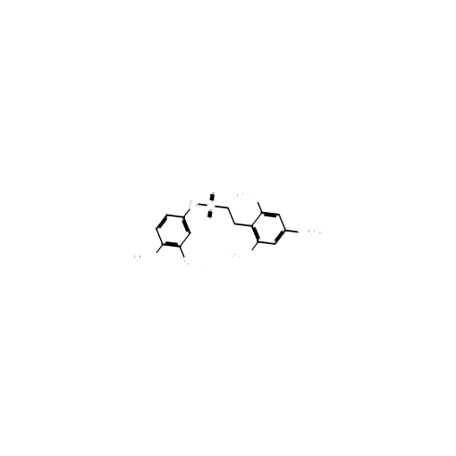 COc1cc(OC)c(CCS(=O)(=O)Nc2ccc(OC)c([N+](=O)[O-])c2)c(OC)c1